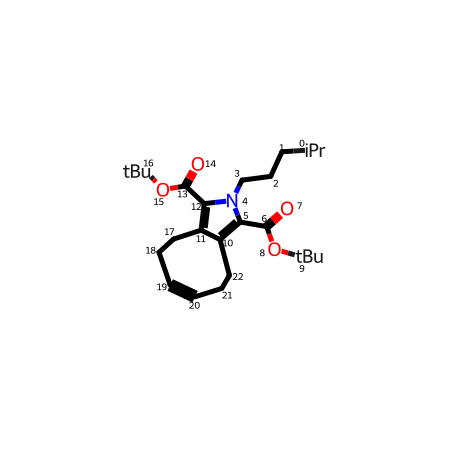 CC(C)CCCn1c(C(=O)OC(C)(C)C)c2c(c1C(=O)OC(C)(C)C)CCC#CCC2